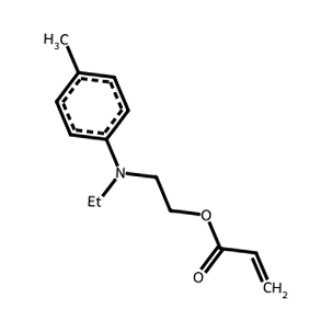 C=CC(=O)OCCN(CC)c1ccc(C)cc1